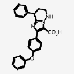 O=C(O)c1c(-c2ccc(Oc3ccccc3)cc2)nc2n1NCCC2c1ccccc1